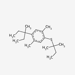 CCC(C)(C)Sc1cc(C)c(C(C)(CC)CC)cc1C